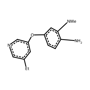 CCc1cncc(Oc2ccc(N)c(NC)c2)c1